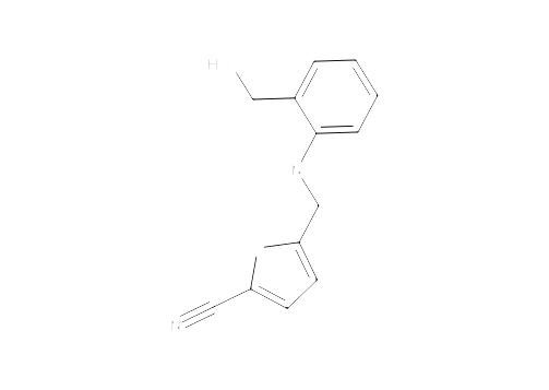 CCc1ccccc1NCc1ccc(C#N)s1